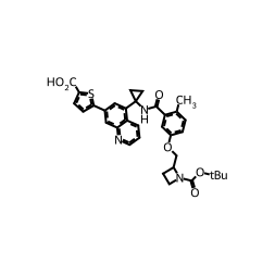 Cc1ccc(OCC2CCN2C(=O)OC(C)(C)C)cc1C(=O)NC1(c2cc(-c3ccc(C(=O)O)s3)cc3ncccc23)CC1